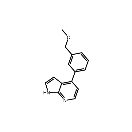 COCc1cccc(-c2ccnc3[nH]ccc23)c1